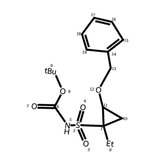 CCC1(S(=O)(=O)NC(=O)OC(C)(C)C)CC1OCc1ccccc1